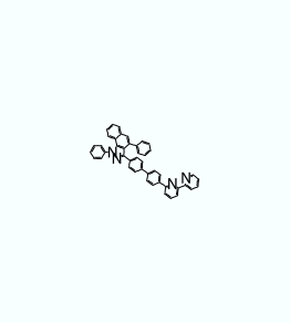 c1ccc(-c2cc3ccccc3c3c2c(-c2ccc(-c4ccc(-c5cccc(-c6ccccn6)n5)cc4)cc2)nn3-c2ccccc2)cc1